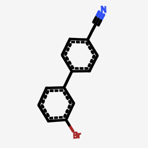 N#Cc1ccc(-c2cccc(Br)c2)cc1